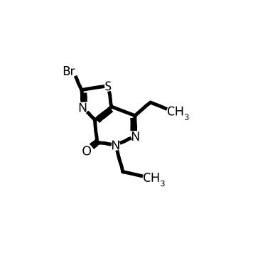 CCc1nn(CC)c(=O)c2nc(Br)sc12